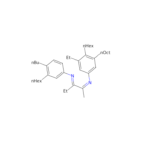 CCCCCCCCc1cc(N=C(C)C(CC)=Nc2ccc(CCCC)c(CCCCCC)c2)cc(CC)c1CCCCCC